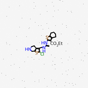 C=C(NCc1c(Cl)sc2c1CCNC2)Nc1sc2c(c1C(=O)OCC)CCCC2